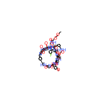 CCCOCCOCCC(=O)NC[C@H]1NC(=O)[C@H](C)NC(=O)CCC(=O)N2CCCCCCn3cc(c4cc(F)ccc43)C[C@@H]3NC(=O)[C@H](Cc4cccc(c4)CNC(=O)CO[C@H]4CCN(C3=O)[C@@H]4C(=O)N[C@@H]([C@@H](C)O)C(=O)N[C@@H](Cc3ccc(OC)cc3)C(=O)N3CCC[C@@]3(C)C(=O)NCCc3ccc(cc3)C2)NC1=O